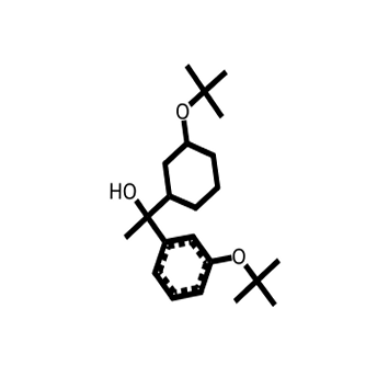 CC(C)(C)Oc1cccc(C(C)(O)C2CCCC(OC(C)(C)C)C2)c1